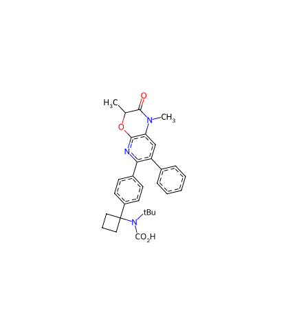 CC1Oc2nc(-c3ccc(C4(N(C(=O)O)C(C)(C)C)CCC4)cc3)c(-c3ccccc3)cc2N(C)C1=O